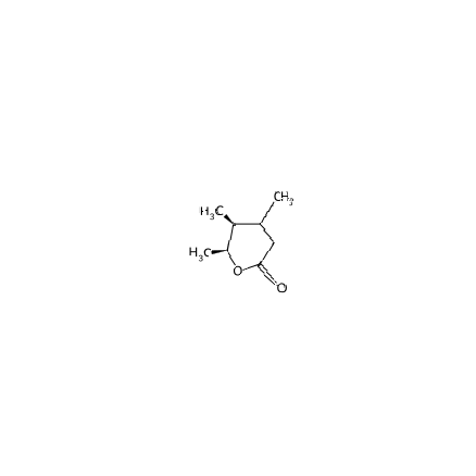 CC1CC(=O)O[C@@H](C)[C@H]1C